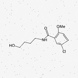 COc1ccc(Cl)cc1C(=O)NCCCCO